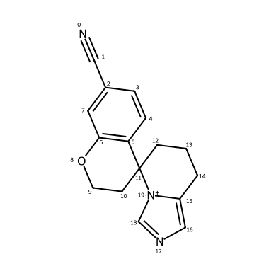 N#Cc1ccc2c(c1)OCCC21CCCC2=CN=C[N+]21